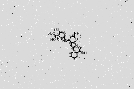 CC(O)C(NC(=O)N[C@@H](CC(N)=O)c1nc(N2CCCCC2C(=O)O)no1)C(=O)O